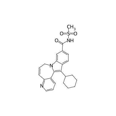 CS(=O)(=O)NC(=O)c1ccc2c(C3CCCCC3)c3n(c2c1)CC=Cc1ncccc1-3